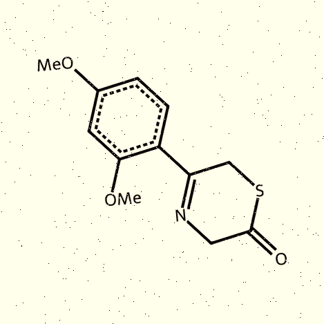 COc1ccc(C2=NCC(=O)SC2)c(OC)c1